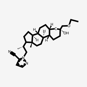 CCOC[C@@]1(O)CC[C@H]2[C@H](CC[C@@H]3[C@@H]2CC[C@]2(C)C([C@@H](C)Cn4nccc4C#N)CC[C@@H]32)C1